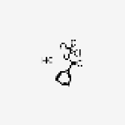 Cl.O=C(OS(=O)(=O)Cl)c1ccccc1